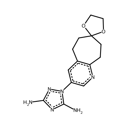 Nc1nc(N)n(-c2cnc3c(c2)CCC2(CC3)OCCO2)n1